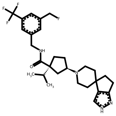 CC(C)[C@]1(C(=O)NCc2cc(CF)cc(C(F)(F)F)c2)CC[C@@H](N2CCC3(CCc4n[nH]cc43)CC2)C1